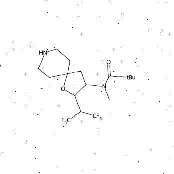 CN(C(=O)C(C)(C)C)C1CC2(CCNCC2)OC1C(C(F)(F)F)C(F)(F)F